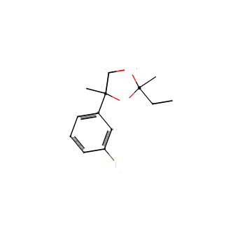 CCC1(C)OCC(C)(c2cccc(Br)c2)O1